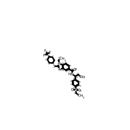 CCn1c(C[C@H]2CC[C@H](C(F)(F)F)CC2)nc2cc(C(=O)NC(CO)c3ccc(S(=O)(=O)CC)cc3)ccc21